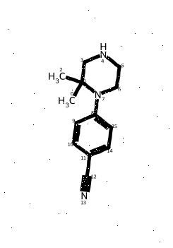 CC1(C)CNCCN1c1ccc(C#N)cc1